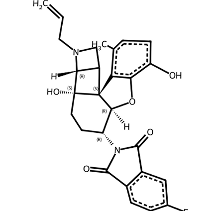 C=CCN1CC2[C@@H]1[C@]1(O)CC[C@@H](N3C(=O)c4ccc(F)cc4C3=O)[C@@H]3Oc4c(O)ccc(C)c4[C@@]231